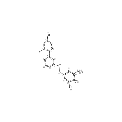 Cc1cc(O)ccc1-c1cccc(CCc2cc(=O)n(C)c(N)n2)c1